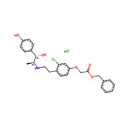 C[C@H](NCCc1ccc(OCC(=O)OCc2ccccc2)cc1Cl)[C@@H](O)c1ccc(O)cc1.Cl